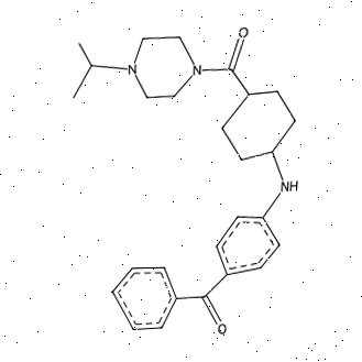 CC(C)N1CCN(C(=O)C2CCC(Nc3ccc(C(=O)c4ccccc4)cc3)CC2)CC1